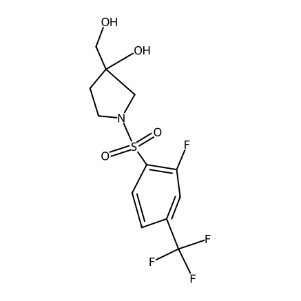 O=S(=O)(c1ccc(C(F)(F)F)cc1F)N1CCC(O)(CO)C1